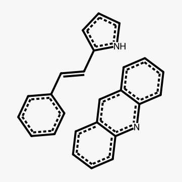 C(=Cc1ccc[nH]1)c1ccccc1.c1ccc2nc3ccccc3cc2c1